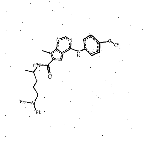 CCN(CC)CCCC(C)NC(=O)c1cc2c(Nc3ccc(OC(F)(F)F)cc3)ncnc2n1C